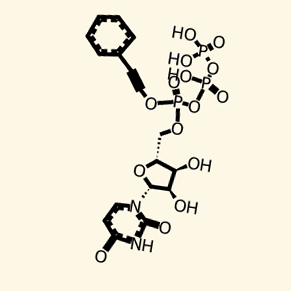 O=c1ccn([C@@H]2O[C@H](COP(=O)(OC#Cc3ccccc3)OP(=O)(O)OP(=O)(O)O)[C@@H](O)[C@H]2O)c(=O)[nH]1